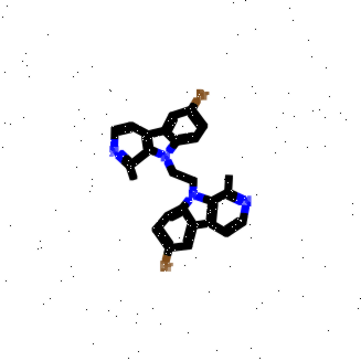 Cc1nccc2c3cc(Br)ccc3n(CCn3c4ccc(Br)cc4c4ccnc(C)c43)c12